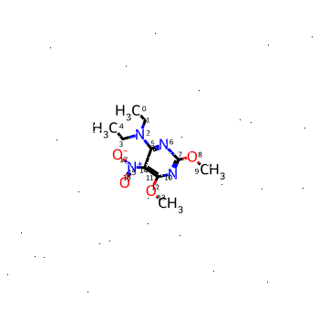 CCN(CC)c1nc(OC)nc(OC)c1[N+](=O)[O-]